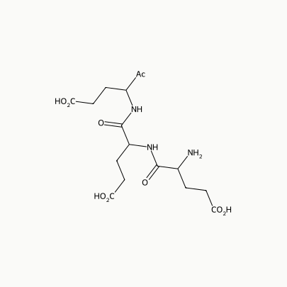 CC(=O)C(CCC(=O)O)NC(=O)C(CCC(=O)O)NC(=O)C(N)CCC(=O)O